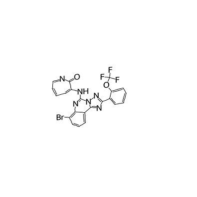 O=c1nccccc1Nc1nc2c(Br)cccc2c2nc(-c3ccccc3OC(F)(F)F)nn12